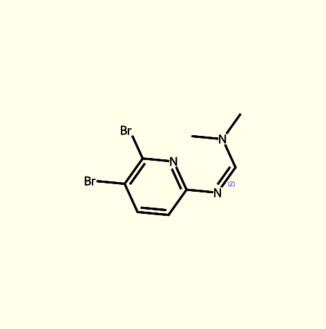 CN(C)/C=N\c1ccc(Br)c(Br)n1